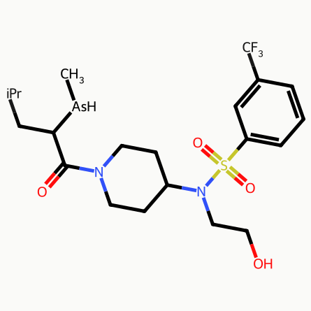 C[AsH]C(CC(C)C)C(=O)N1CCC(N(CCO)S(=O)(=O)c2cccc(C(F)(F)F)c2)CC1